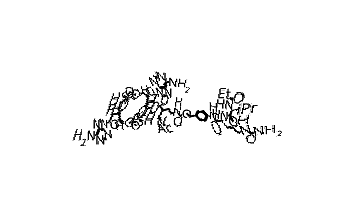 CCC(=O)N[C@H](C(=O)N[C@@H](CCCNC(N)=O)C(=O)Nc1ccc(COC(=O)NCCC(/C=N/C(C)=O)C(=O)O[C@@H]2[C@@H]3O[P@](=O)(S)OC[C@H]4O[C@@H](n5cnc6c(N)ncnc65)[C@H](F)[C@@H]4O[P@](=O)(S)OC[C@H]3O[C@H]2n2cnc3c(N)ncnc32)cc1)C(C)C